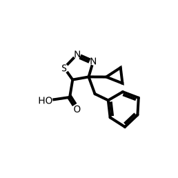 O=C(O)C1SN=NC1(Cc1ccccc1)C1CC1